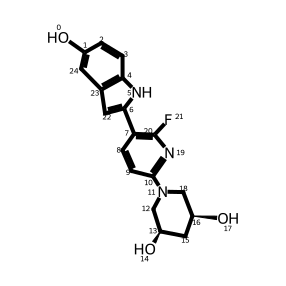 Oc1ccc2[nH]c(-c3ccc(N4C[C@H](O)C[C@H](O)C4)nc3F)cc2c1